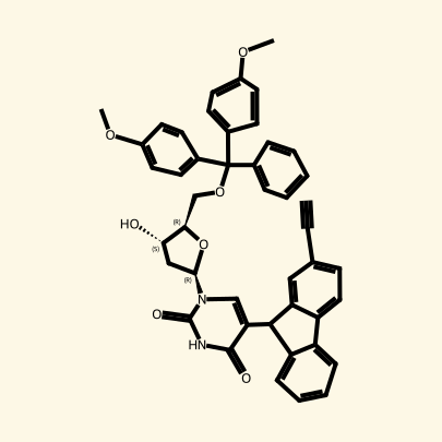 C#Cc1ccc2c(c1)C(c1cn([C@H]3C[C@H](O)[C@@H](COC(c4ccccc4)(c4ccc(OC)cc4)c4ccc(OC)cc4)O3)c(=O)[nH]c1=O)c1ccccc1-2